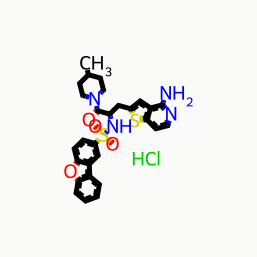 CC1CCN(C(=O)C(Cc2cc3c(N)nccc3s2)NS(=O)(=O)c2ccc3oc4ccccc4c3c2)CC1.Cl